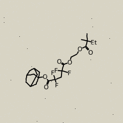 CCC(C)(C)C(=O)OCCOC(=O)C(F)(F)CC(F)(F)C(=O)OC12CC3CC(CC(C3)C1)C2